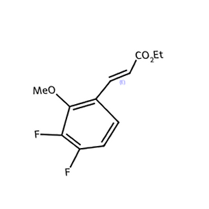 CCOC(=O)/C=C/c1ccc(F)c(F)c1OC